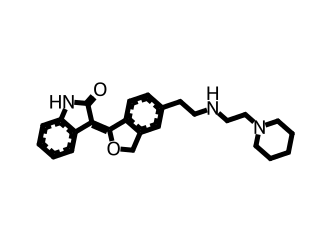 O=C1Nc2ccccc2C1=C1OCc2cc(CCNCCN3CCCCC3)ccc21